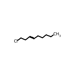 CCCCCC=CCCCl